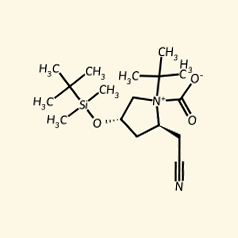 CC(C)(C)[N+]1(C(=O)[O-])C[C@@H](O[Si](C)(C)C(C)(C)C)C[C@@H]1CC#N